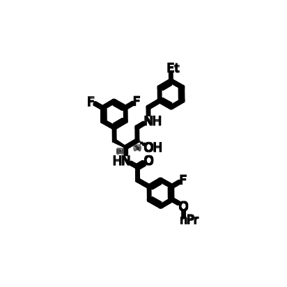 CCCOc1ccc(CC(=O)N[C@@H](Cc2cc(F)cc(F)c2)[C@@H](O)CNCc2cccc(CC)c2)cc1F